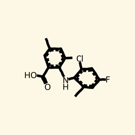 Cc1cc(C)c(Nc2c(C)cc(F)cc2Cl)c(C(=O)O)c1